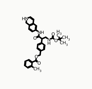 Cc1ccccc1C(=O)OCc1ccc(C(CNC(=O)OC(C)(C)C)C(=O)Nc2ccc3c(c2)C=CNC3)cc1